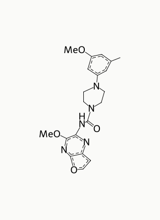 COc1cc(C)cc(N2CCN(C(=O)Nc3nc4ccoc4nc3OC)CC2)c1